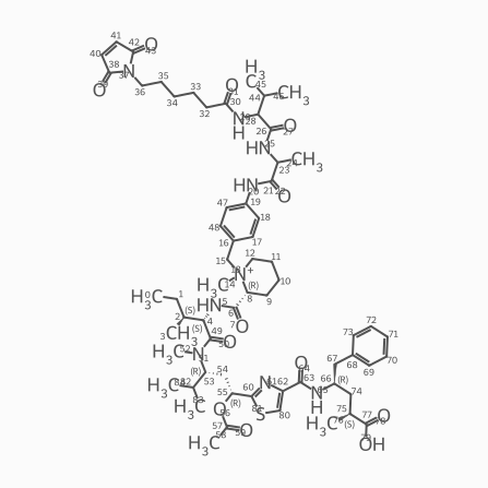 CC[C@H](C)[C@H](NC(=O)[C@H]1CCCC[N+]1(C)Cc1ccc(NC(=O)C(C)NC(=O)C(NC(=O)CCCCCN2C(=O)C=CC2=O)C(C)C)cc1)C(=O)N(C)[C@H](C[C@@H](OC(C)=O)c1nc(C(=O)N[C@@H](Cc2ccccc2)C[C@H](C)C(=O)O)cs1)C(C)C